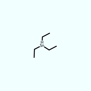 C[CH2][SnH]([CH2]C)[CH2]C